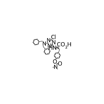 CN(C)C(=O)Oc1ccc(C[C@H](Nc2nc(Cl)nc(N(Cc3ccccc3)Cc3ccccc3)n2)C(=O)O)cc1